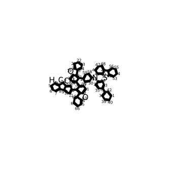 CC1(C)c2ccccc2-c2ccc(-c3c(-c4ccc5oc6ccccc6c5c4-c4ccc(N(c5ccc(-c6ccccc6)cc5)c5cccc6c5sc5ccccc56)cc4)ccc4oc5ccccc5c34)cc21